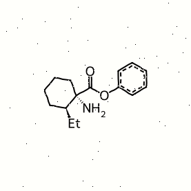 CC[C@H]1CCCC[C@@]1(N)C(=O)Oc1ccccc1